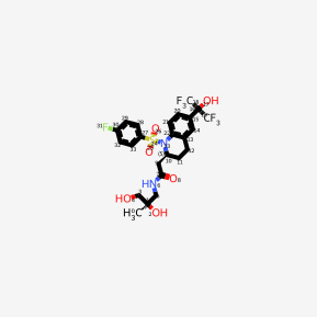 C[C@](O)(CO)CNC(=O)C[C@@H]1CCc2cc(C(O)(C(F)(F)F)C(F)(F)F)ccc2N1S(=O)(=O)c1ccc(F)cc1